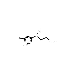 CNCCN(N)c1cc(C)no1